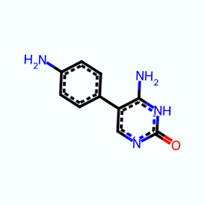 Nc1ccc(-c2cnc(=O)[nH]c2N)cc1